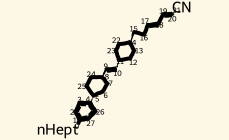 CCCCCCCc1ccc([C@H]2CC[C@H](/C=C/[C@H]3CC[C@H](CCC=CC=CC#N)CC3)CC2)cc1